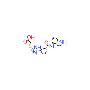 O=C(O)CSc1nnc(-c2cccc(C(=O)Nc3cccc4[nH]ccc34)c2)[nH]1